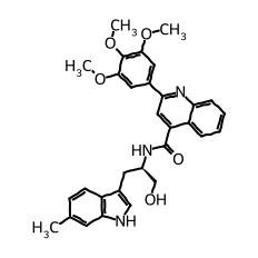 COc1cc(-c2cc(C(=O)N[C@@H](CO)Cc3c[nH]c4cc(C)ccc34)c3ccccc3n2)cc(OC)c1OC